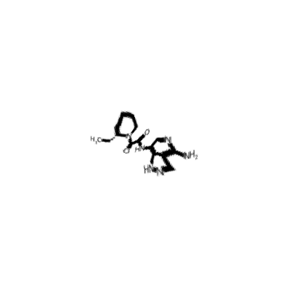 CC[C@@H]1CCCCN1C(=O)C(=O)Nc1cnc(N)c2cn[nH]c12